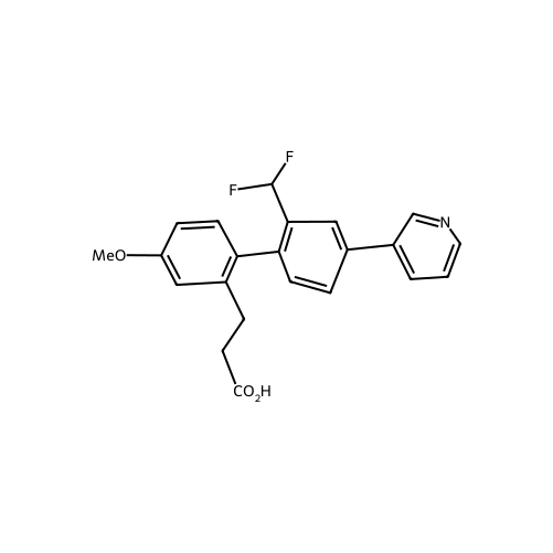 COc1ccc(-c2ccc(-c3cccnc3)cc2C(F)F)c(CCC(=O)O)c1